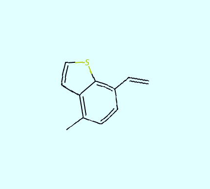 C=Cc1ccc(C)c2ccsc12